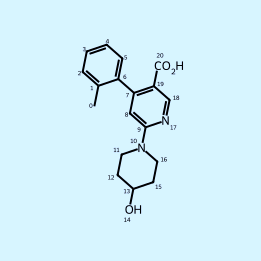 Cc1ccccc1-c1cc(N2CCC(O)CC2)ncc1C(=O)O